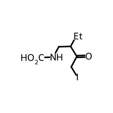 CCC(CNC(=O)O)C(=O)CI